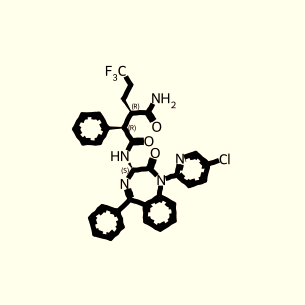 NC(=O)[C@H](CCC(F)(F)F)[C@@H](C(=O)N[C@H]1N=C(c2ccccc2)c2ccccc2N(c2ccc(Cl)cn2)C1=O)c1ccccc1